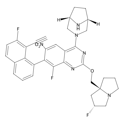 C#Cc1c(F)ccc2cccc(-c3c([N+](=O)[O-])cc4c(N5C[C@H]6CC[C@@H](C5)N6)nc(OC[C@@]56CCCN5C[C@H](F)C6)nc4c3F)c12